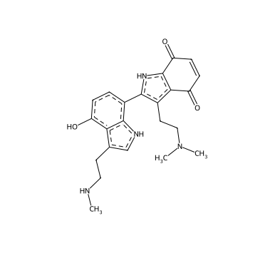 CNCCc1c[nH]c2c(-c3[nH]c4c(c3CCN(C)C)C(=O)C=CC4=O)ccc(O)c12